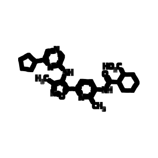 Cc1nc(-c2onc(C)c2Nc2cncc(C3CCCC3)n2)ccc1NC(=O)C1CCCCC1C(=O)O